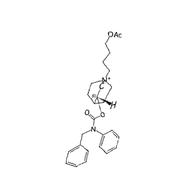 CC(=O)OCCCC[N+]12CCC(CC1)[C@@H](OC(=O)N(Cc1ccccc1)c1ccccc1)C2